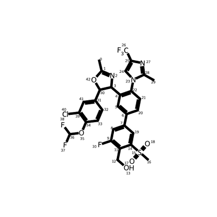 CC1=NC(c2cc(-c3cc(F)c(CO)c(S(C)(=O)=O)c3)ccc2-n2cc(C(F)(F)F)nc2C)C(c2ccc(OC(F)F)c(Cl)c2)O1